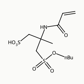 C=CC(=O)NC(C)(CS(=O)(=O)O)CS(=O)(=O)OCCCC